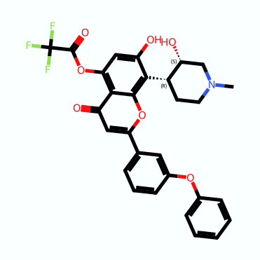 CN1CC[C@H](c2c(O)cc(OC(=O)C(F)(F)F)c3c(=O)cc(-c4cccc(Oc5ccccc5)c4)oc23)[C@H](O)C1